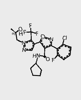 C[C@@H](O)Cn1ncc(-c2onc(-c3c(F)cccc3Cl)c2C(=O)NC2CCCC2)c1C(F)(F)F